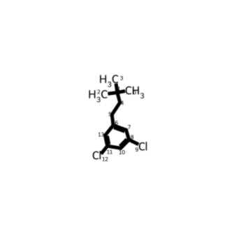 CC(C)(C)CCc1cc(Cl)cc(Cl)c1